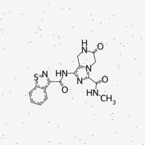 CNC(=O)c1nc(NC(=O)c2nsc3ccccc23)c2n1CC(=O)NC2